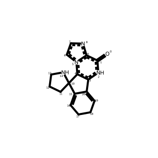 O=c1[nH]c2c(n3ccnc13)C1(CCCN1)C1=CCCC=C12